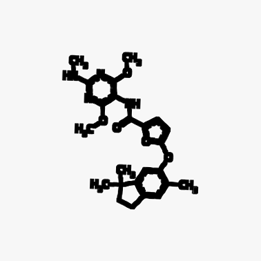 CNc1nc(OC)c(NC(=O)c2ccc(Oc3cc4c(cc3C)CCC4(C)C)o2)c(OC)n1